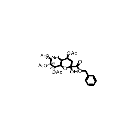 CC(=O)NC1C(OC(C)=O)CC(O)(C(=O)OCc2ccccc2)OC1[C@H](OC(C)=O)[C@@H](COC(C)=O)OC(C)=O